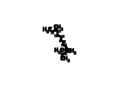 CCCS(C)(C)CCCCCCCC(C)CC